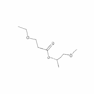 CCOCCC(=O)OC(C)COC